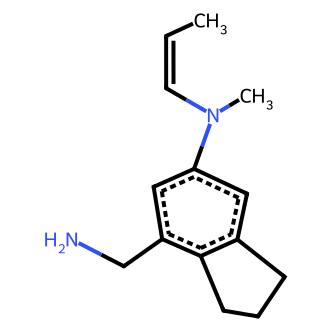 C/C=C\N(C)c1cc(CN)c2c(c1)CCC2